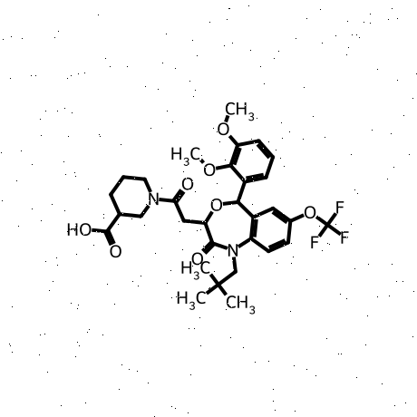 COc1cccc(C2OC(CC(=O)N3CCCC(C(=O)O)C3)C(=O)N(CC(C)(C)C)c3ccc(OC(F)(F)F)cc32)c1OC